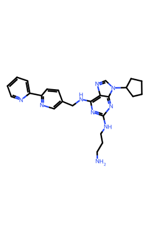 NCCCNc1nc(NCc2ccc(-c3ccccn3)nc2)c2ncn(C3CCCC3)c2n1